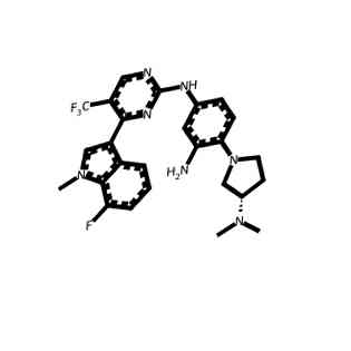 CN(C)[C@H]1CCN(c2ccc(Nc3ncc(C(F)(F)F)c(-c4cn(C)c5c(F)cccc45)n3)cc2N)C1